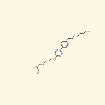 CCCCCCCCc1ccc(-c2ncc(OCCCCC[C@@H](C)CC)cn2)cc1